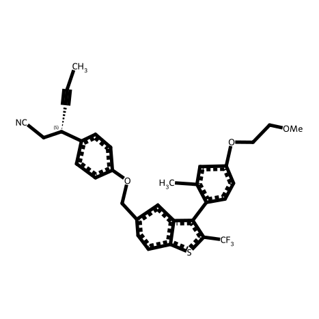 CC#C[C@@H](CC#N)c1ccc(OCc2ccc3sc(C(F)(F)F)c(-c4ccc(OCCOC)cc4C)c3c2)cc1